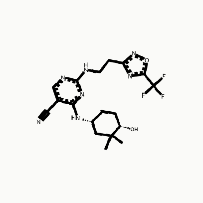 CC1(C)C[C@H](Nc2nc(NCCc3noc(C(F)(F)F)n3)ncc2C#N)CC[C@@H]1O